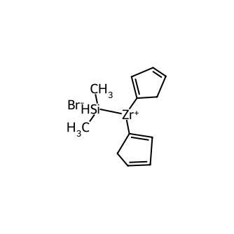 C[SiH](C)[Zr+]([C]1=CC=CC1)[C]1=CC=CC1.[Br-]